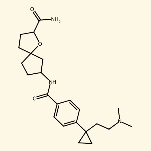 CN(C)CCC1(c2ccc(C(=O)NC3[CH]CC4(CCC(C(N)=O)O4)C3)cc2)CC1